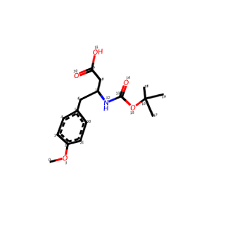 COc1ccc(CC(CC(=O)O)NC(=O)OC(C)(C)C)cc1